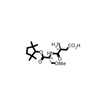 COC[C@@H](NC(=O)[C@@H](N)CC(=O)O)C(=O)OC1C(C)(C)CCC1(C)C